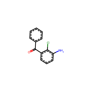 Nc1cccc(C(=O)c2ccccc2)c1Cl